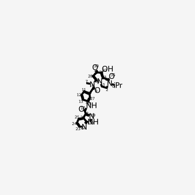 CC(C)N1CCn2c(N(C)C(=O)c3cccc(NC(=O)c4n[nH]c5ncccc45)c3)cc(=O)c(O)c2C1=O